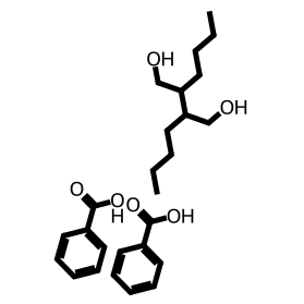 CCCCC(CO)C(CO)CCCC.O=C(O)c1ccccc1.O=C(O)c1ccccc1